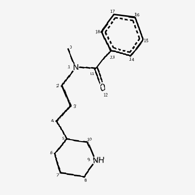 CN(CCCC1CCCNC1)C(=O)c1ccccc1